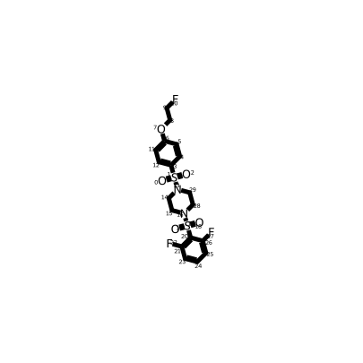 O=S(=O)(c1ccc(OCCF)cc1)N1CCN(S(=O)(=O)c2c(F)cccc2F)CC1